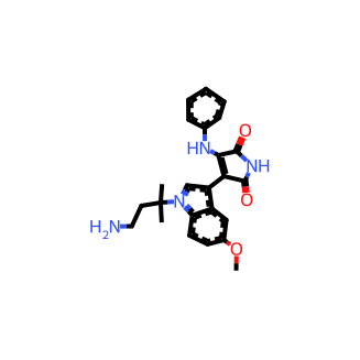 COc1ccc2c(c1)c(C1=C(Nc3ccccc3)C(=O)NC1=O)cn2C(C)(C)CCN